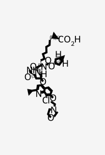 NC(=O)[C@@H]1CC(Oc2cc(C3CC3)nc3c(Cl)c(OCCN4CCOCC4)ccc23)CN1C(=O)[C@H](CCCCCCC[C@@H]1C[C@@H]1C(=O)O)NC(=O)O[C@@H]1C[C@@H]2C[C@@H]2C1